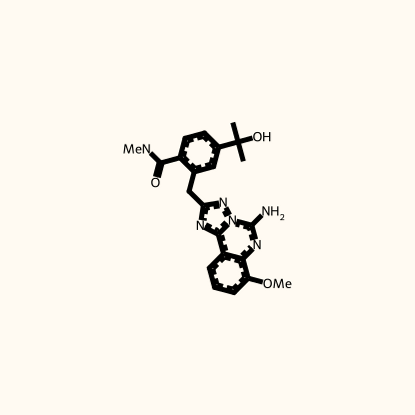 CNC(=O)c1ccc(C(C)(C)O)cc1Cc1nc2c3cccc(OC)c3nc(N)n2n1